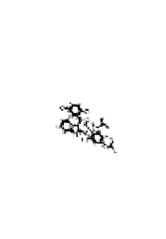 CC(C)CC[N+](C=O)(Cc1nc2ccccn2c1Cc1cc(Br)ccc1O)c1ccc(OC(C)C)cc1Cl